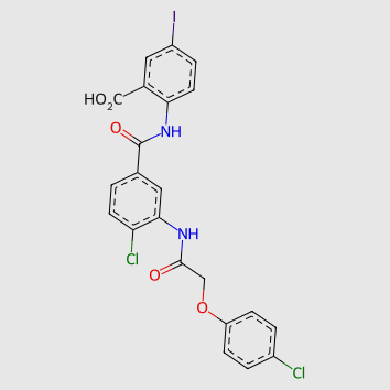 O=C(COc1ccc(Cl)cc1)Nc1cc(C(=O)Nc2ccc(I)cc2C(=O)O)ccc1Cl